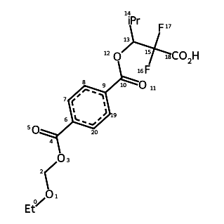 CCOCOC(=O)c1ccc(C(=O)OC(C(C)C)C(F)(F)C(=O)O)cc1